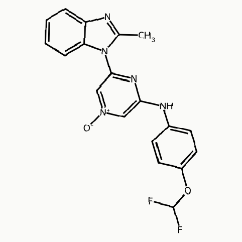 Cc1nc2ccccc2n1-c1c[n+]([O-])cc(Nc2ccc(OC(F)F)cc2)n1